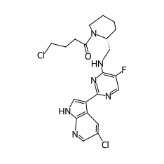 O=C(CCCCl)N1CCCC[C@@H]1CNc1nc(-c2c[nH]c3ncc(Cl)cc23)ncc1F